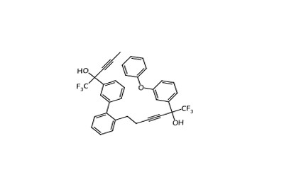 CC#CC(O)(c1cccc(-c2ccccc2CCC#CC(O)(c2cccc(Oc3ccccc3)c2)C(F)(F)F)c1)C(F)(F)F